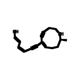 C[C@H]1CC/C=C(/C#C/C=C\C=C\O)C#CCCN1